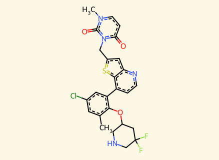 Cc1cc(Cl)cc(-c2ccnc3cc(Cn4c(=O)ccn(C)c4=O)sc23)c1OC1CNCC(F)(F)C1